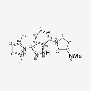 CNC1CCN(c2cccc3c(-n4c(C)ccc4C)n[nH]c23)C1